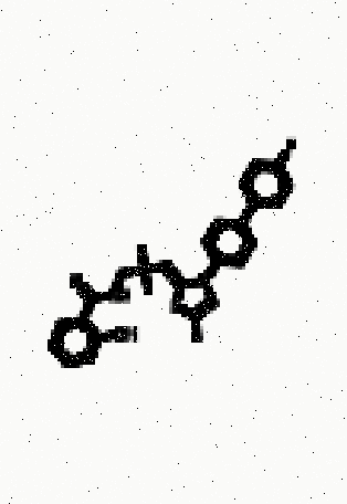 CC1=CN(c2ccc(-c3ccc(F)cc3)cc2)C(=CC(C)(C)CNC(=O)c2ccccc2O)S1